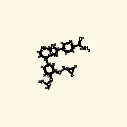 NC(=O)c1ccc(-c2nc3nccc(-c4ccc(OC(F)F)c(OCC5CC5)c4)n3n2)cn1